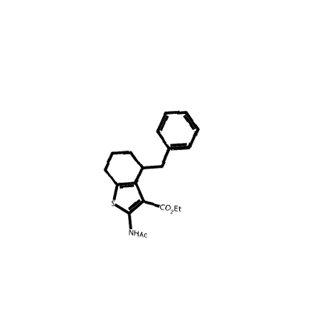 CCOC(=O)c1c(NC(C)=O)sc2c1C(Cc1ccccc1)CCC2